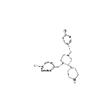 Clc1ccc(CN2CCN(Cc3ccc(Cl)cc3)C(N3CCNCC3)C2)cc1